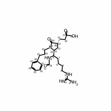 N=C(N)NCCCCC(NC=O)[C@@H]1C[C@@H](CCC(=O)O)C(=O)N1CCCc1ccccc1